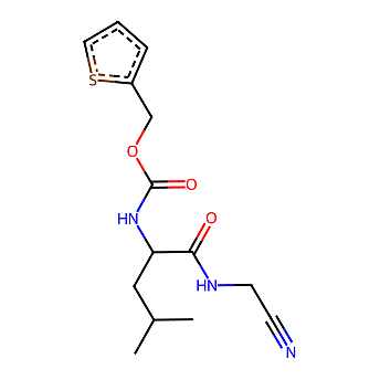 CC(C)CC(NC(=O)OCc1cccs1)C(=O)NCC#N